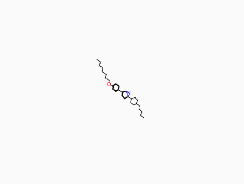 CCCCCCCCOc1ccc(-c2ccc(C3CCC(CCCCC)CC3)nc2)cc1